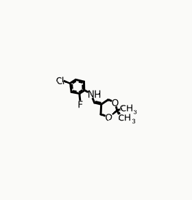 CC1(C)OCC(=CNc2ccc(Cl)cc2F)CO1